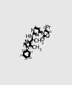 Cc1c([C@@H](C)Nc2nccc(N3C(=O)OC[C@@H]3C(C)C)n2)nnn1-c1ccccc1